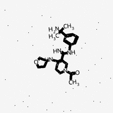 CC(=O)N1CCC(NC2CCOC2)=C(C(=N)Nc2cccc(C(C)(C)N)c2)C1